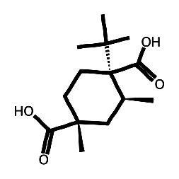 C[C@H]1C[C@](C)(C(=O)O)CC[C@]1(C(=O)O)C(C)(C)C